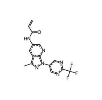 C=CC(=O)Nc1cnc2c(c1)c(C)nn2-c1cnc(C(F)(F)F)nc1